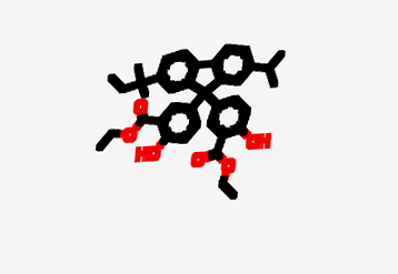 CCOC(=O)c1cc(C2(c3ccc(O)c(C(=O)OCC)c3)c3cc(C(C)C)ccc3-c3ccc(C(C)(C)CC)cc32)ccc1O